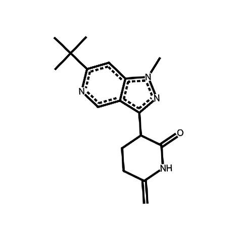 C=C1CCC(c2nn(C)c3cc(C(C)(C)C)ncc23)C(=O)N1